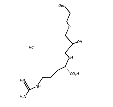 CCCCCCCCCCCCOCC(O)CN[C@@H](CCCNC(=N)N)C(=O)O.Cl